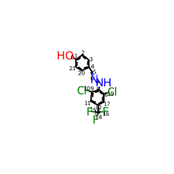 Oc1ccc(/C=N/Nc2c(Cl)cc(C(F)(F)F)cc2Cl)cc1